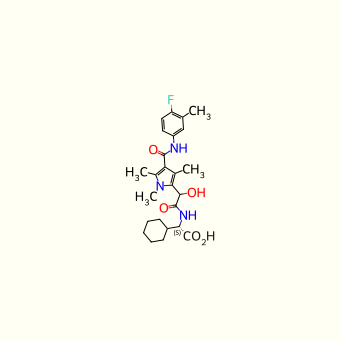 Cc1cc(NC(=O)c2c(C)c(C(O)C(=O)N[C@H](C(=O)O)C3CCCCC3)n(C)c2C)ccc1F